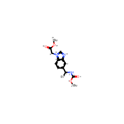 CCC(NC(=O)OC(C)(C)C)c1ccc2c(c1)ncn2CC(=O)OC(C)(C)C